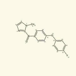 Cn1ccnc1C(=O)c1ccc(Oc2ccc(F)cc2)cc1